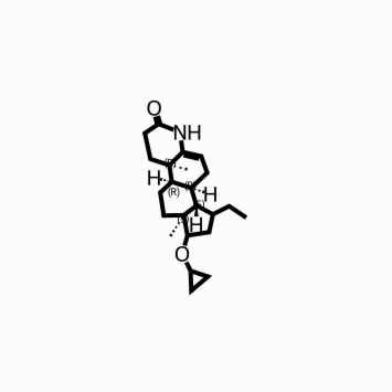 CCC1CC(OC2CC2)[C@@]2(C)CC[C@@H]3[C@@H](CC=C4NC(=O)CC[C@@]43C)[C@H]12